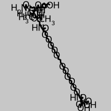 CN[C@@H](CCCCNC(=O)CCOCCOCCOCCOCCOCCCCCOCCOCCOCCOCCOCCOCCNC(=O)CN(CC(=O)O)CC(=O)O)C(=O)N[C@H](C(=O)N[C@@H](CCCNC(N)=O)C(=O)Nc1ccc(CO)cc1)C(C)C